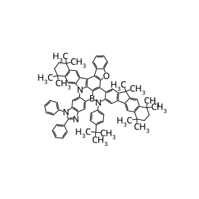 CC(C)(C)c1ccc(N2B3c4cc5nc(-c6ccccc6)n(-c6ccccc6)c5cc4-n4c5cc6c(cc5c5c7c(oc8ccccc87)c(c3c54)-c3cc4c(cc32)-c2cc3c(cc2C4(C)C)C(C)(C)CCC3(C)C)C(C)(C)CCC6(C)C)cc1